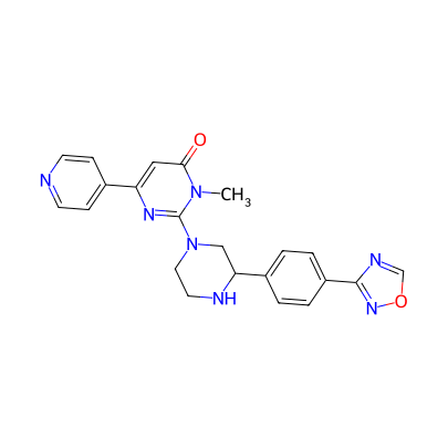 Cn1c(N2CCNC(c3ccc(-c4ncon4)cc3)C2)nc(-c2ccncc2)cc1=O